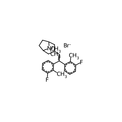 Cc1c(F)cccc1C(=CC1CC2CCC(C1)[N+]2(C)C)c1cccc(F)c1C.[Br-]